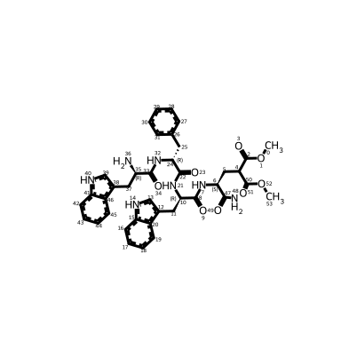 COC(=O)C(C[C@H](NC(=O)[C@@H](Cc1c[nH]c2ccccc12)NC(=O)[C@@H](Cc1ccccc1)NC(=O)[C@H](N)Cc1c[nH]c2ccccc12)C(N)=O)C(=O)OC